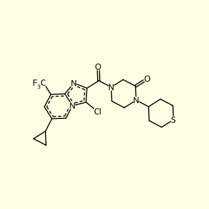 O=C(c1nc2c(C(F)(F)F)cc(C3CC3)cn2c1Cl)N1CCN(C2CCSCC2)C(=O)C1